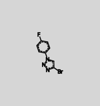 Fc1ccc(-n2cc(Br)nn2)cc1